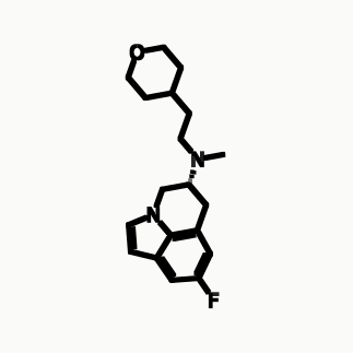 CN(CCC1CCOCC1)[C@@H]1Cc2cc(F)cc3ccn(c23)C1